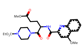 CCOC(=O)N1CCN(C(=O)C(CCC(=O)OC)NC(=O)c2cc(OC)c3ccccc3n2)CC1